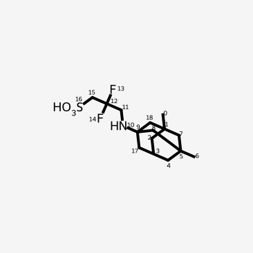 CC12CC3CC(C)(C1)CC(NCC(F)(F)CS(=O)(=O)O)(C3)C2